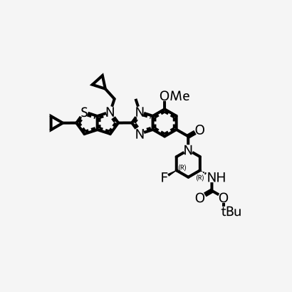 COc1cc(C(=O)N2C[C@H](F)C[C@@H](NC(=O)OC(C)(C)C)C2)cc2nc(-c3cc4cc(C5CC5)sc4n3CC3CC3)n(C)c12